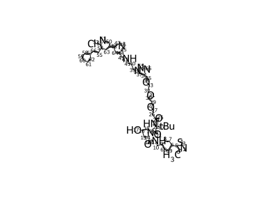 Cc1ncsc1-c1ccc(CNC(=O)[C@@H]2C[C@@H](O)CN2C(=O)[C@@H](NC(=O)CCOCCOCCOCc2cn(CCCNCc3cncc(-c4cnc(Cl)c(/C=C/c5ccccc5)c4)c3)nn2)C(C)(C)C)cc1